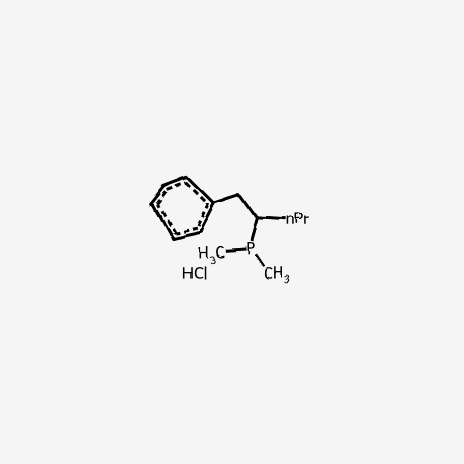 CCCC(Cc1ccccc1)P(C)C.Cl